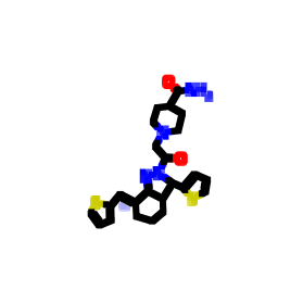 NC(=O)C1CCN(CC(=O)N2N=C3/C(=C/c4cccs4)CCCC3C2c2cccs2)CC1